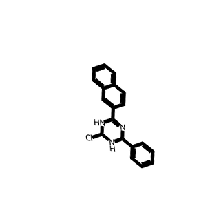 ClC1NC(c2ccc3ccccc3c2)=NC(c2ccccc2)N1